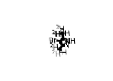 [2H]C([2H])([2H])c1n[nH]c(C([2H])([2H])[2H])c1Br